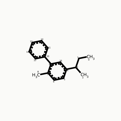 CCC(C)c1ccc(C)c(-c2ccccc2)c1